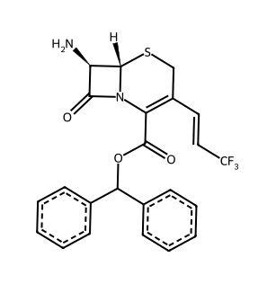 N[C@@H]1C(=O)N2C(C(=O)OC(c3ccccc3)c3ccccc3)=C(C=CC(F)(F)F)CS[C@@H]12